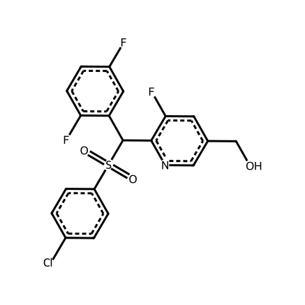 O=S(=O)(c1ccc(Cl)cc1)C(c1cc(F)ccc1F)c1ncc(CO)cc1F